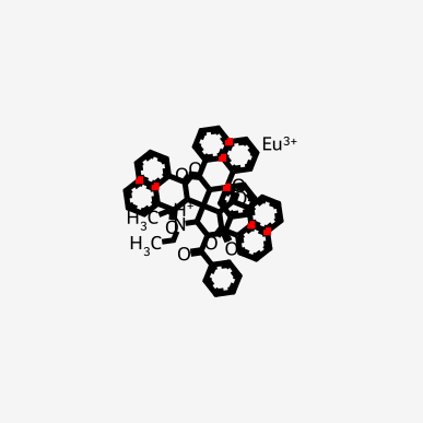 CC[NH+](CC)C(C(C(=O)c1ccccc1)C(=O)c1ccccc1)C(C(C(=O)c1ccccc1)C(=O)c1ccccc1)(C(C(=O)c1ccccc1)C(=O)c1ccccc1)C(C(=O)c1ccccc1)C(=O)c1ccccc1.[Eu+3]